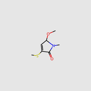 COC1C=C(SC)C(=O)N1C